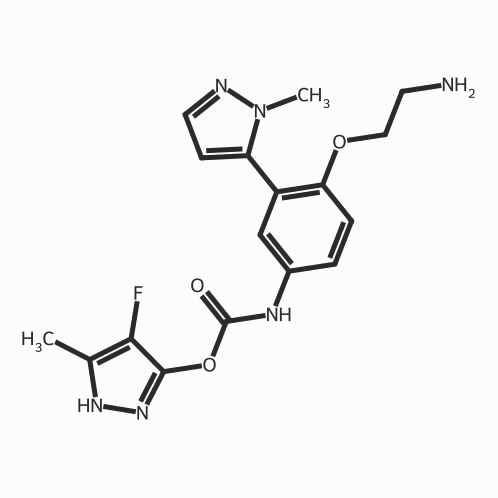 Cc1[nH]nc(OC(=O)Nc2ccc(OCCN)c(-c3ccnn3C)c2)c1F